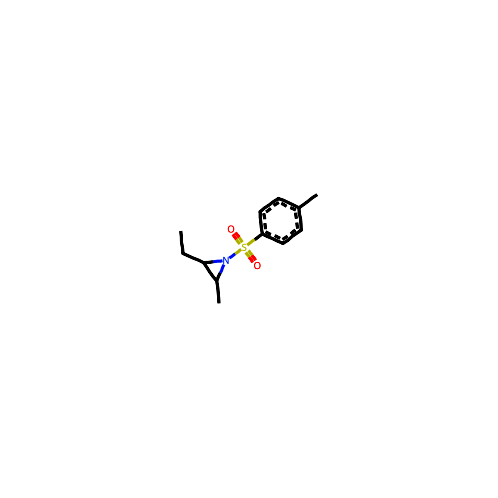 CCC1C(C)N1S(=O)(=O)c1ccc(C)cc1